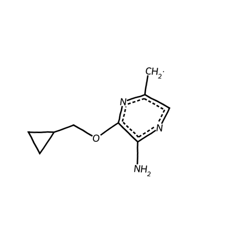 [CH2]c1cnc(N)c(OCC2CC2)n1